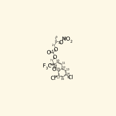 CC(COC(=O)OC[C@]1(C(F)(F)F)C=Cc2cc(Cl)cc(Cl)c2O1)O[N+](=O)[O-]